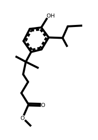 CCC(C)c1cc(C(C)(C)CCCC(=O)OC)ccc1O